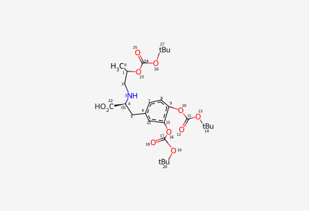 CC(CN[C@@H](Cc1ccc(OC(=O)OC(C)(C)C)c(OC(=O)OC(C)(C)C)c1)C(=O)O)OC(=O)OC(C)(C)C